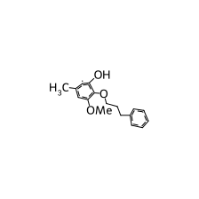 COc1cc(C)[c]c(O)c1OCCCc1ccccc1